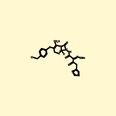 CON=C(C(=O)Cc1cccs1)C(=O)N[C@@H]1C(=O)N2C(C(=O)O)=C(Sc3ccc(CCl)cc3)CS[C@@H]12